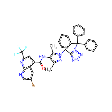 Cc1nn(Cc2nnnn2C(c2ccccc2)(c2ccccc2)c2ccccc2)c(C)c1NC(=O)c1cc(C(F)(F)F)nc2ncc(Br)cc12